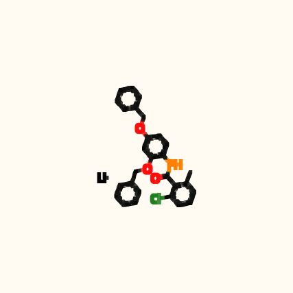 Cc1cccc(Cl)c1C(=O)Pc1ccc(OCc2ccccc2)cc1OCc1ccccc1.[Li]